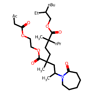 CCCCC(CC)COC(=O)C(C)(CCC)CCC(C)(CC(C)N1CCCCCC1=O)C(=O)OCCOC(=O)CC(C)=O